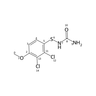 COc1ccc(SNC(N)=O)c(Cl)c1Cl